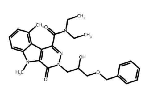 CCN(CC)C(=O)c1nn(CC(O)COCc2ccccc2)c(=O)c2c1c1c(C)cccc1n2C